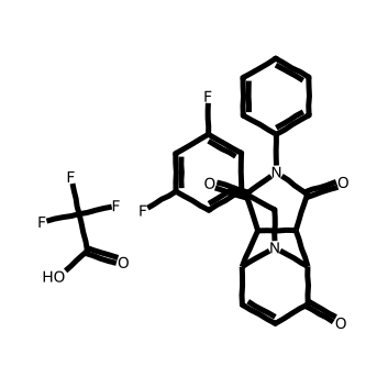 O=C(O)C(F)(F)F.O=C1C=CC2C3C(=O)N(c4ccccc4)C(=O)C3C1N2Cc1cc(F)cc(F)c1